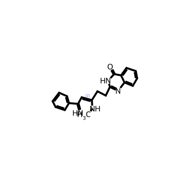 CN/C(=C\C(=N)c1ccccc1)CCc1nc2ccccc2c(=O)[nH]1